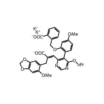 CCCOc1ncnc(/C=C(\Cc2cc3c(cc2OC)OCO3)C(=O)[O-])c1-c1ccc(OC)cc1OCc1ccccc1C(=O)[O-].[K+].[K+]